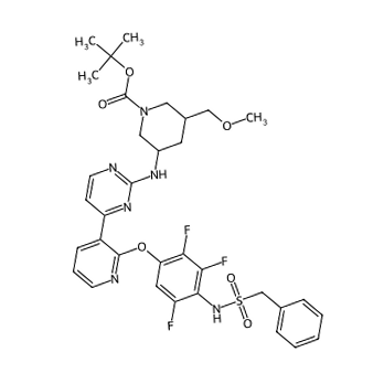 COCC1CC(Nc2nccc(-c3cccnc3Oc3cc(F)c(NS(=O)(=O)Cc4ccccc4)c(F)c3F)n2)CN(C(=O)OC(C)(C)C)C1